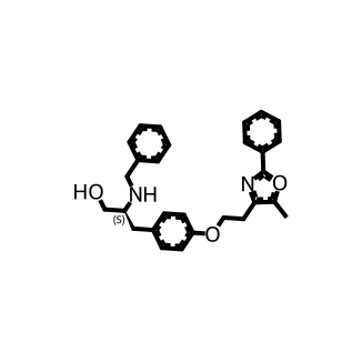 Cc1oc(-c2ccccc2)nc1CCOc1ccc(C[C@@H](CO)NCc2ccccc2)cc1